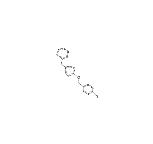 Ic1ccc(COc2ccc(Cc3ccccc3)cc2)cc1